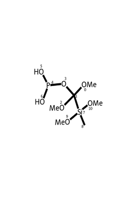 COC(OC)(OP(O)O)[Si](C)(OC)OC